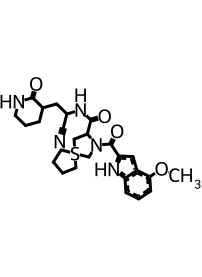 COc1cccc2[nH]c(C(=O)N3CS4(CCCC4)CC3C(=O)NC(C#N)CC3CCCNC3=O)cc12